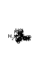 Cl.NCC[C@H]1CNC(=O)c2cc(-c3cccc(OC(F)(F)F)c3)c(-c3ccc4c(c3)OCO4)n21